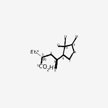 C=C(C[C@@H](CC)C(=O)O)C1CCC(C)C1(C)C